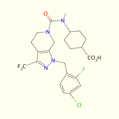 CN(C(=O)N1CCc2c(C(F)(F)F)nn(Cc3ccc(Cl)cc3F)c2C1)C1CCC(C(=O)O)CC1